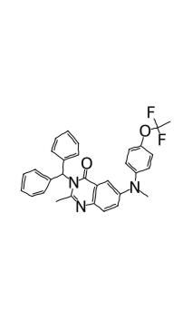 Cc1nc2ccc(N(C)c3ccc(OC(C)(F)F)cc3)cc2c(=O)n1C(c1ccccc1)c1ccccc1